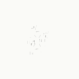 Cc1cc(Br)c(Br)c(Br)c1Nc1c([N+](=O)[O-])cc([N+](=O)[O-])cc1C(F)(F)F